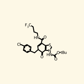 CC(C)(C)OC(=O)NN1CSC2=C1C(=O)C(Cc1ccc(Cl)cc1)C=C2C(=O)NCCCC(F)(F)F